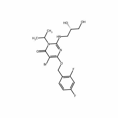 CC(C)n1c(NC[C@H](O)CO)nc(OCc2ccc(F)cc2F)c(Br)c1=O